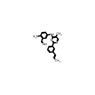 C/C=C/c1cccc(-c2ncc(C)c(Nc3ccc(N)c(C=N)c3)n2)c1